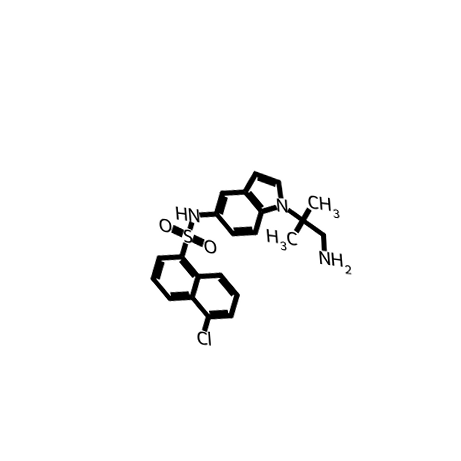 CC(C)(CN)n1ccc2cc(NS(=O)(=O)c3cccc4c(Cl)cccc34)ccc21